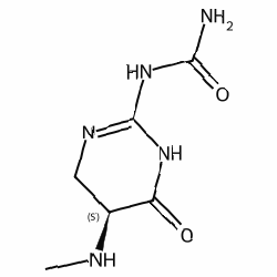 CN[C@H]1CN=C(NC(N)=O)NC1=O